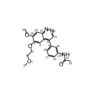 COCCOc1cc2c(-c3cccc(NC(C)=O)c3)cnnc2cc1OC